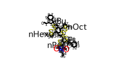 C=CCCC(c1ccccc1)(c1cc2c(-c3ccc(CCCCCCCC)s3)c3sc(-c4sc(C(CC)(CCCCC)c5ccccc5)c5c4SC4C(=O)N(CC=C)C(=O)C54)cc3c(-c3ccc(CCCCCC)s3)c2s1)C(C)CC